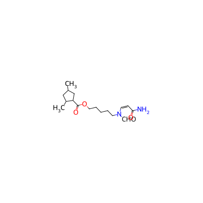 CC1CC(C)C(C(=O)OCCCCCN(C=O)/C=C\C(N)=O)C1